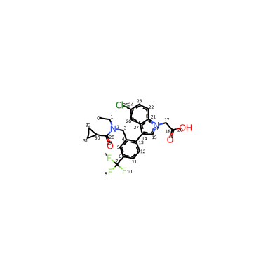 CCN(Cc1cc(C(F)(F)F)ccc1-c1cn(CC(=O)O)c2ccc(Cl)cc12)C(=O)C1CC1